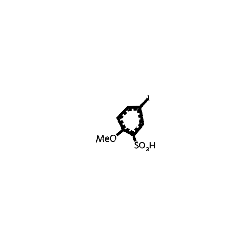 COc1ccc(I)cc1S(=O)(=O)O